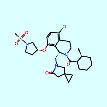 C[C@H]1CCCC[C@H]1C(=O)N1CCc2c(Cl)ccc(O[C@H]3CCN(S(C)(=O)=O)C3)c2[C@H]1CN1CC2(CC2)CC1=O